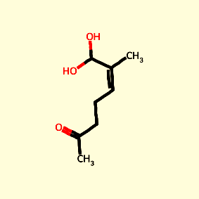 CC(=O)CCC=C(C)C(O)O